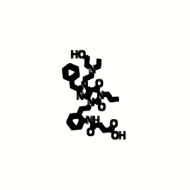 CCCn1c(=O)c2c(nc(Cc3ccccc3)n2CCN(CC)CCO)n(CCc2ccccc2NC(=O)CCC(=O)O)c1=O